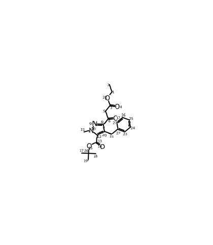 CCOC(=O)CC(=O)c1nn(C)c(C(=O)OC(C)(C)C)c1Cc1ccccc1